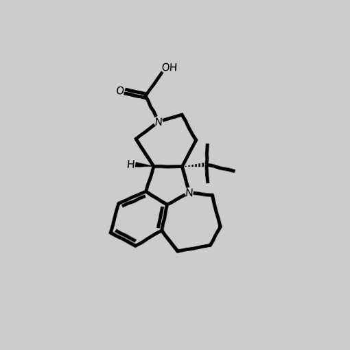 CC(C)(C)[C@@]12CCN(C(=O)O)C[C@H]1c1cccc3c1N2CCCC3